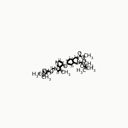 COC(=O)[C@H]1Cc2ccc(Oc3ccnc4c3c(C)cn4COCCS(C)(C)C)cc2CN1C(=O)OC(C)(C)C